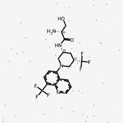 N[C@H](CO)C(=O)N[C@@H]1C[C@H](C(F)(F)F)CN(c2ccc(C(F)(F)F)c3ncccc23)C1